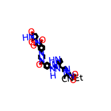 CCS(=O)(=O)N1CC(CC#N)(n2cc(-c3nc(Nc4ccc(C(=O)N5CCN(c6ccc7c(c6)C(=O)N(C6CCC(=O)NC6=O)C7=O)CC5)cc4)nc4[nH]ccc34)cn2)C1